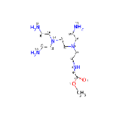 COC(=O)CNCCN(CCN)CCN(CCN)CCN